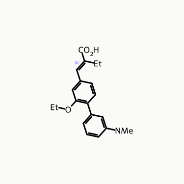 CCOc1cc(/C=C(\CC)C(=O)O)ccc1-c1cccc(NC)c1